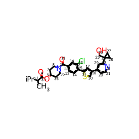 CC(C)C(C)C(=O)OC1CCN(C(=O)c2ccc(-c3cc(-c4ccnc(C5(CO)CC5)c4)cs3)c(Cl)c2)CC1